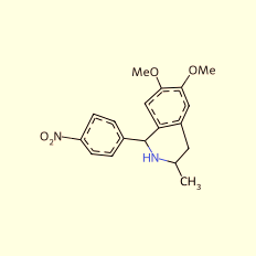 COc1cc2c(cc1OC)C(c1ccc([N+](=O)[O-])cc1)NC(C)C2